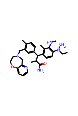 CCN(N)c1ccc(C(c2ccc(C)c(CN3CCOc4cccnc4C3)c2)C(C)C(N)=O)c(C)c1NC